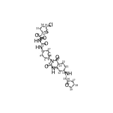 O=C(Nc1ccc(-n2c(=O)[nH]c3cc(NCc4ccco4)ccc3c2=O)cc1)NS(=O)(=O)c1ccc(Cl)s1